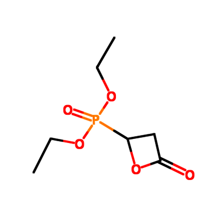 CCOP(=O)(OCC)C1CC(=O)O1